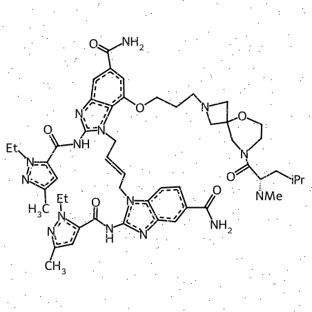 CCn1nc(C)cc1C(=O)Nc1nc2cc(C(N)=O)ccc2n1C/C=C/Cn1c(NC(=O)c2cc(C)nn2CC)nc2cc(C(N)=O)cc(OCCCN3CC4(C3)CN(C(=O)[C@H](CC(C)C)NC)CCO4)c21